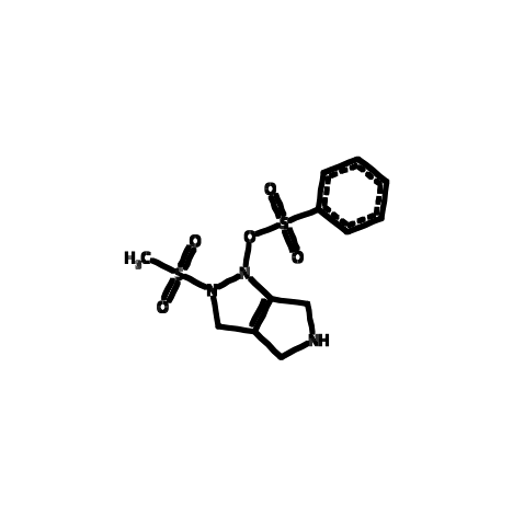 CS(=O)(=O)N1CC2=C(CNC2)N1OS(=O)(=O)c1ccccc1